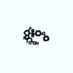 CC1=C(CC(=O)O)C2=C(S(=O)(=O)c3ccc(Oc4ccccc4)cc3)C(F)=CCC2=N1